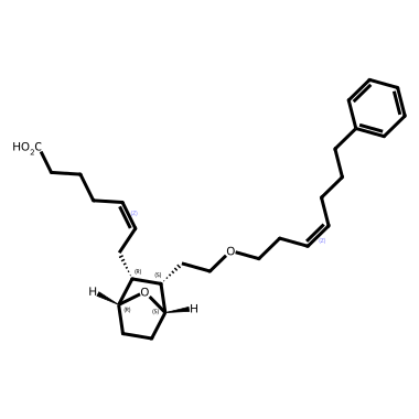 O=C(O)CCC/C=C\C[C@@H]1[C@H](CCOCC/C=C\CCCc2ccccc2)[C@@H]2CC[C@H]1O2